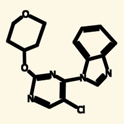 Clc1cnc(OC2CCOCC2)nc1-n1cnc2ccccc21